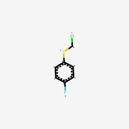 Fc1ccc(SCCl)cc1